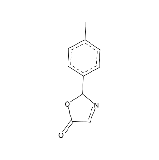 Cc1ccc(C2N=CC(=O)O2)cc1